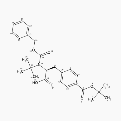 CC(C)(C)OC(=O)c1ccc(C[C@@H](C(=O)O)N(C(=O)OCc2ccccc2)C(C)(C)C)cc1